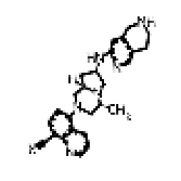 C[C@@H]1CN(c2ccc(C#N)c3ncccc23)C[C@@H]2C[C@@H](Nc3cc4c(cn3)CCNC4)CN21